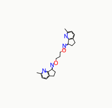 Cc1ccc2c(n1)/C(=N/OCCCO/N=C1\CCc3ccc(C)nc31)CC2